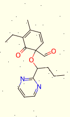 CCCC(OC1(C=O)C=CC(C)=C(CC)C1=O)c1ncccn1